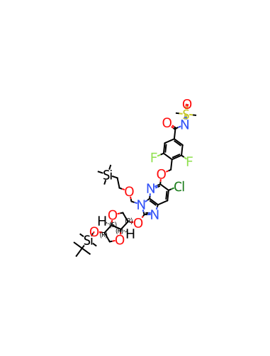 CC(C)(C)[Si](C)(C)O[C@@H]1CO[C@H]2[C@@H]1OC[C@H]2Oc1nc2cc(Cl)c(OCc3c(F)cc(C(=O)N=S(C)(C)=O)cc3F)nc2n1COCC[Si](C)(C)C